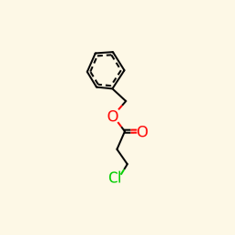 O=C(CCCl)OCc1ccccc1